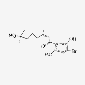 CC(=CC(=O)c1cc(O)c(Br)cc1O)CCCC(C)(C)O